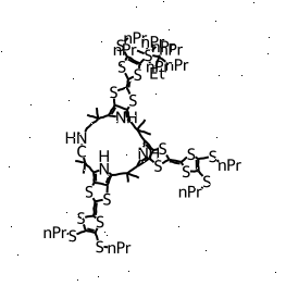 CCCSC1=C(SCCC)SC(=C2Sc3c4[nH]c(c3S2)C(C)(C)c2[nH]c(c3c2SC(=C2SC(SCCC)=C(SCCC)S2)S3)C(C)(C)c2[nH]c(c3c2S/C(=C2/SC(SCCC)=C(S(CCC)(CCC)(CCC)(CCC)C(CC)(CCC)CCC)S2)S3)C(C)(C)CNCC4(C)C)S1